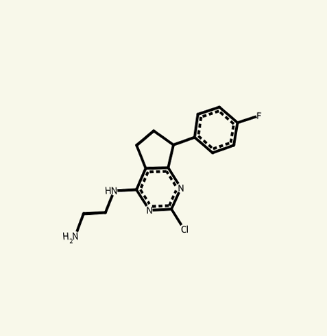 NCCNc1nc(Cl)nc2c1CCC2c1ccc(F)cc1